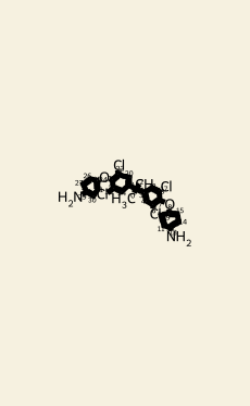 CC(C)(c1cc(Cl)c(Oc2ccc(N)cc2)c(Cl)c1)c1cc(Cl)c(Oc2ccc(N)cc2)c(Cl)c1